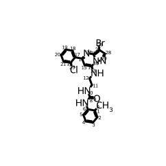 Cc1ccccc1NC(=O)NCCNc1cc(-c2ccccc2Cl)nc2c(Br)cnn12